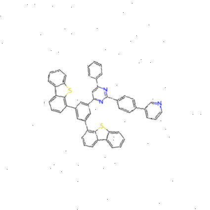 c1ccc(-c2cc(-c3cc(-c4cccc5c4sc4ccccc45)cc(-c4cccc5c4sc4ccccc45)c3)nc(-c3ccc(-c4cccnc4)cc3)n2)cc1